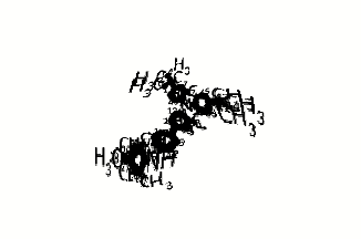 CCC(C)(CC)c1ccc(N(c2ccc(-c3ccc(Nc4c(C)cc(C(C)(C)C)cc4C)cc3)cc2)c2c(C)cc(C(C)(C)C)cc2C)cc1